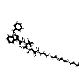 CN(CC(=O)NCCCOCCOCCOCCCC#N)C(=O)[C@@H](NC(=O)c1cn(CC2CCCCC2)c2ccccc12)C(C)(C)C